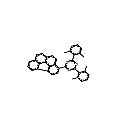 Cc1cccc(C)c1-c1nc(-c2c(C)cccc2C)nc(-c2ccc3c4c2ccc2ccc5cccc-3c5c24)n1